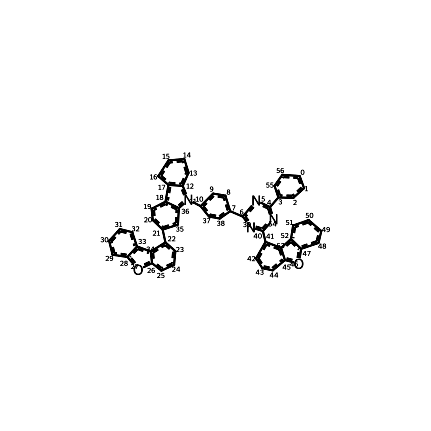 c1ccc(-c2nc(-c3ccc(-n4c5ccccc5c5ccc(-c6cccc7oc8ccccc8c67)cc54)cc3)nc(-c3cccc4oc5ccccc5c34)n2)cc1